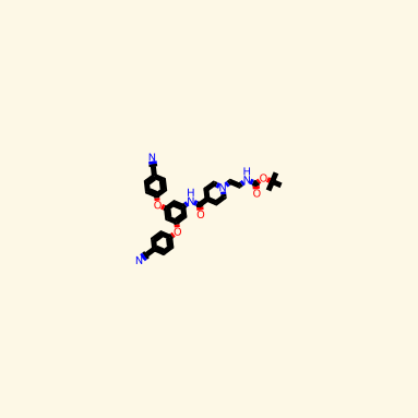 CC(C)(C)OC(=O)NCCN1CCC(C(=O)Nc2cc(Oc3ccc(C#N)cc3)cc(Oc3ccc(C#N)cc3)c2)CC1